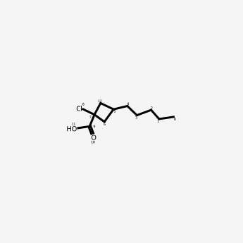 CCCCCC1CC(Cl)(C(=O)O)C1